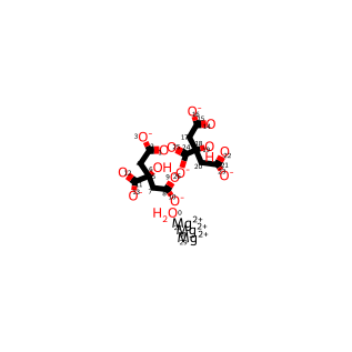 O.O=C([O-])CC(O)(CC(=O)[O-])C(=O)[O-].O=C([O-])CC(O)(CC(=O)[O-])C(=O)[O-].[Mg+2].[Mg+2].[Mg+2]